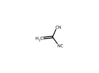 [C-]#[N+]C(=C)C#N